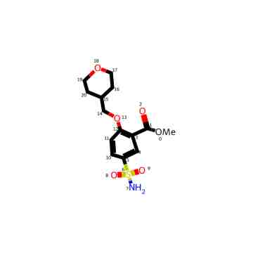 COC(=O)c1cc(S(N)(=O)=O)ccc1OCC1CCOCC1